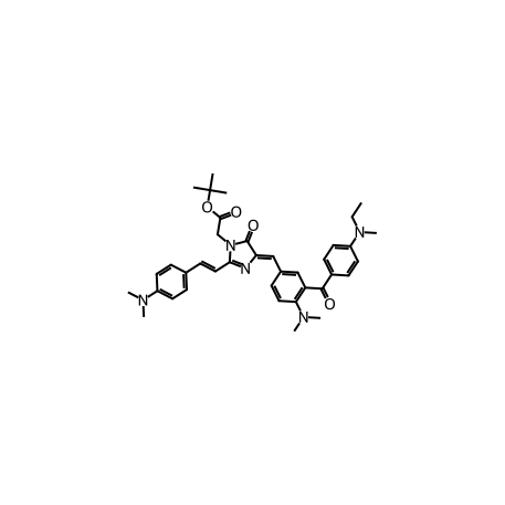 CCN(C)c1ccc(C(=O)c2cc(/C=C3N=C(/C=C/c4ccc(N(C)C)cc4)N(CC(=O)OC(C)(C)C)C\3=O)ccc2N(C)C)cc1